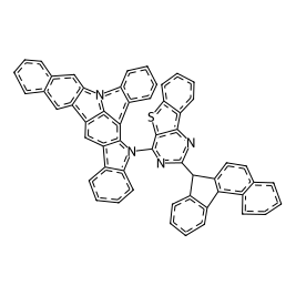 c1ccc2c(c1)-c1c(ccc3ccccc13)C2c1nc(-n2c3ccccc3c3cc4c5cc6ccccc6cc5n5c6ccccc6c(c32)c45)c2sc3ccccc3c2n1